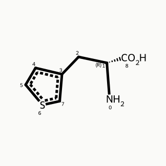 N[C@H](Cc1ccsc1)C(=O)O